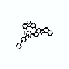 C1=CC(c2ccc(-c3nc(-c4ccccc4)nc(-c4cccc5oc6ccc(-c7ccc8oc9c%10ccccc%10ccc9c8c7)cc6c45)n3)cc2)=CCC1